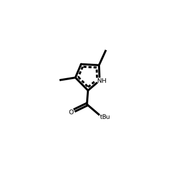 Cc1cc(C)c(C(=O)C(C)(C)C)[nH]1